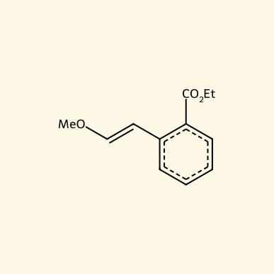 CCOC(=O)c1ccccc1C=COC